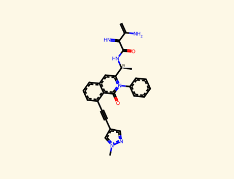 C=C(N)C(=N)C(=O)N[C@@H](C)c1cc2cccc(C#Cc3cnn(C)c3)c2c(=O)n1-c1ccccc1